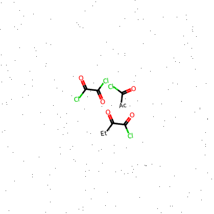 CC(=O)C(=O)Cl.CCC(=O)C(=O)Cl.O=C(Cl)C(=O)Cl